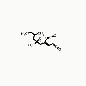 CCC(C)CC(C)(C)CC(=CN=C=O)N=C=O